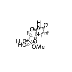 CO[C@]1(CO)O[C@@H](n2cc(F)c(=O)[nH]c2=O)[C@@H](F)[C@@H]1C